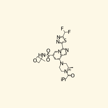 CC(C)C(=O)N1CCN(c2cc(S(=O)(=O)NC3(C)COC3)cn3c(-c4nnc(C(F)F)s4)ncc23)C[C@H]1C